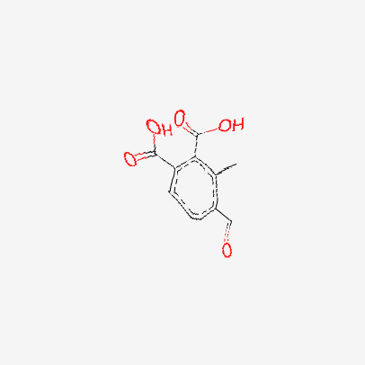 Cc1c(C=O)ccc(C(=O)O)c1C(=O)O